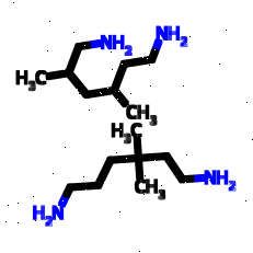 CC(C)(CCN)CCCN.CC(CN)CC(C)CCN